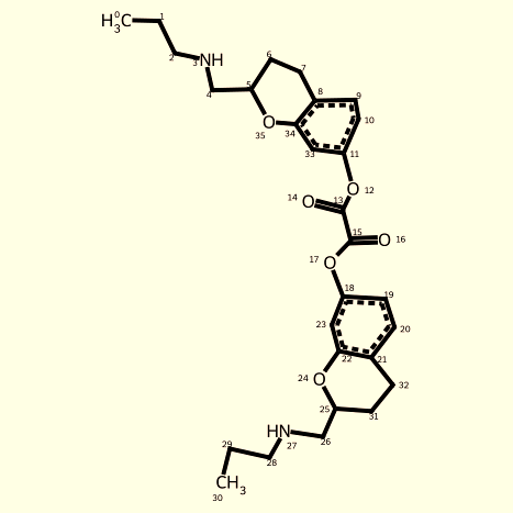 CCCNCC1CCc2ccc(OC(=O)C(=O)Oc3ccc4c(c3)OC(CNCCC)CC4)cc2O1